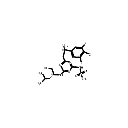 CC(C)C[C@H](CO)Nc1nc(C[C@@H](C)c2cc(F)c(Cl)c(F)c2)nc(NS(C)(=O)=O)n1